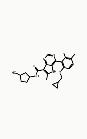 Cc1ccc(OCC2CC2)c(-c2ncnc3c(C(=O)NC4CCC(O)C4)c(C)[nH]c23)c1F